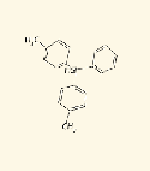 Cc1ccc([SiH](c2ccccc2)c2ccc(C)cc2)cc1